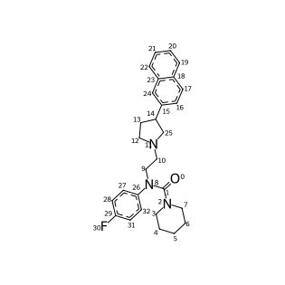 O=C(N1CCCCC1)N(CCN1CCC(c2ccc3ccccc3c2)C1)c1ccc(F)cc1